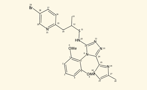 COc1cccc(OC)c1-n1c(NSC(C)Cc2ccc(Br)cn2)nnc1-c1nc(C)cs1